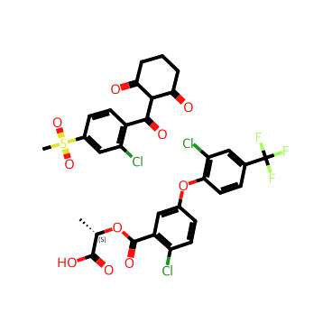 CS(=O)(=O)c1ccc(C(=O)C2C(=O)CCCC2=O)c(Cl)c1.C[C@H](OC(=O)c1cc(Oc2ccc(C(F)(F)F)cc2Cl)ccc1Cl)C(=O)O